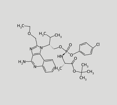 CCOCc1nc2c(N)nc3ccccc3c2n1[C@@H](CO[P@@](=O)(N[C@@H](C)C(=O)OC(C)(C)C)Oc1ccc(Cl)cc1)C(C)C